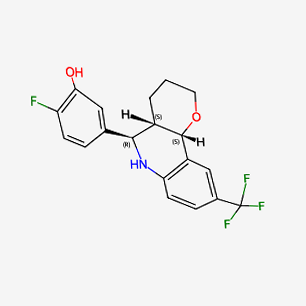 Oc1cc([C@@H]2Nc3ccc(C(F)(F)F)cc3[C@H]3OCCC[C@H]32)ccc1F